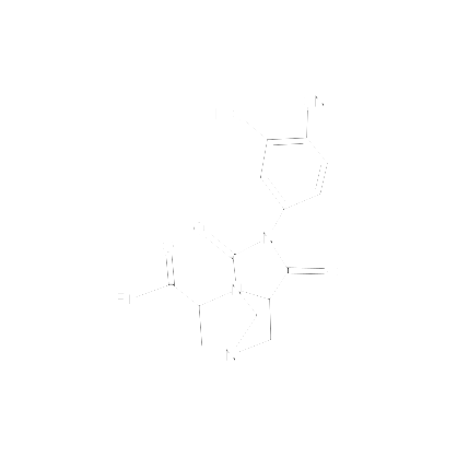 CCC(=O)C1C[N@@]2CC3C(=O)N(c4ccc(C#N)c(C(F)(F)F)c4)C(=O)[N+]13C2